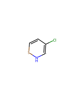 ClC1=[C]NSC=C1